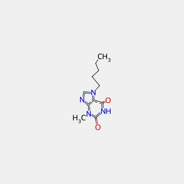 CCCCCn1cnc2c1c(=O)[nH]c(=O)n2C